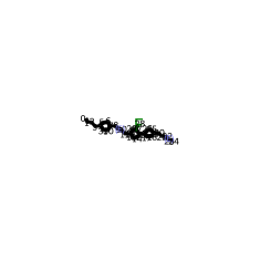 C=CCCc1ccc(C/C=C/Cc2ccc(-c3ccc(CC/C=C/C)cc3)c(F)c2)cc1